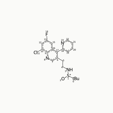 CC(C)(C)[S+]([O-])NCCc1cnc2c(Cl)cc(F)cc2c1-c1ccccn1